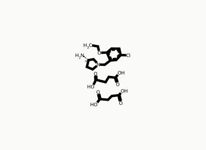 CCOc1ccc(Cl)cc1CN1CC[C@H](N)C1.O=C(O)CCC(=O)O.O=C(O)CCC(=O)O